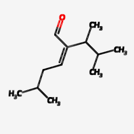 CC(C)CC=C(C=O)C(C)C(C)C